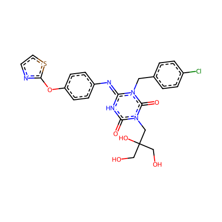 O=c1[nH]/c(=N\c2ccc(Oc3nccs3)cc2)n(Cc2ccc(Cl)cc2)c(=O)n1CC(O)(CO)CO